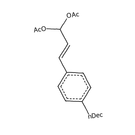 CCCCCCCCCCc1ccc(C=CC(OC(C)=O)OC(C)=O)cc1